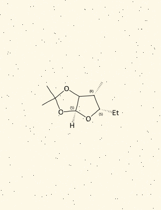 CC[C@@H]1O[C@H]2OC(C)(C)OC2[C@@H]1C